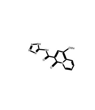 COc1cc(C(=O)Nc2nnn[nH]2)c(=O)n2ccccc12